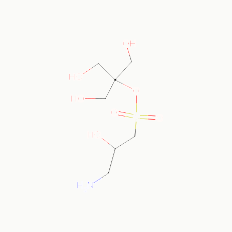 NCC(O)CS(=O)(=O)OC(CO)(CO)CO